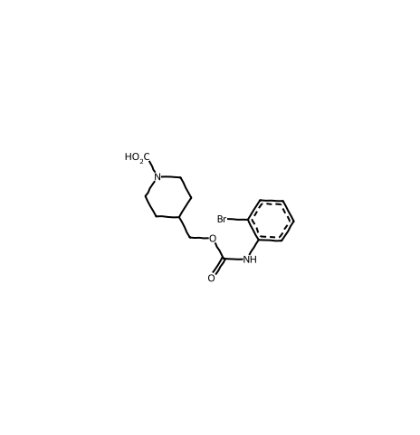 O=C(Nc1ccccc1Br)OCC1CCN(C(=O)O)CC1